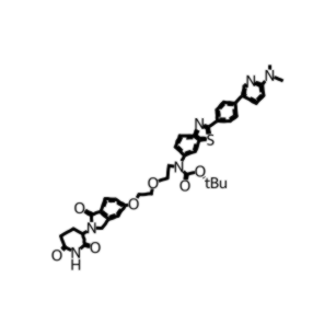 CN(C)c1ccc(-c2ccc(-c3nc4ccc(N(CCOCCOc5ccc6c(c5)CN(C5CCC(=O)NC5=O)C6=O)C(=O)OC(C)(C)C)cc4s3)cc2)cn1